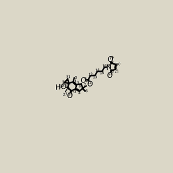 CC1=C2C(=CC(C)(C)[C@@H]2OC(=O)CCCCCN2C(=O)C=CC2=O)C(=O)[C@](C)(O)C12CC2